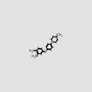 CN1CCN(c2ccc(Sc3ccc(N)c(N)c3)cc2)CC1